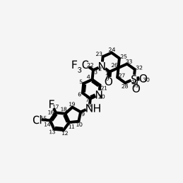 O=C1N(C(c2ccc(NC3Cc4ccc(Cl)c(F)c4C3)nc2)C(F)(F)F)CCCC12CCS(=O)(=O)CC2